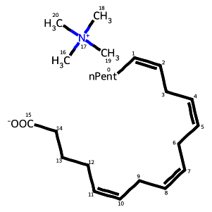 CCCCC/C=C\C/C=C\C/C=C\C/C=C\CCCC(=O)[O-].C[N+](C)(C)C